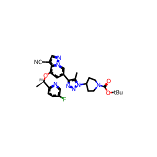 Cc1c(-c2cc(O[C@H](C)c3ccc(F)cn3)c3c(C#N)cnn3c2)nnn1C1CCN(C(=O)OC(C)(C)C)CC1